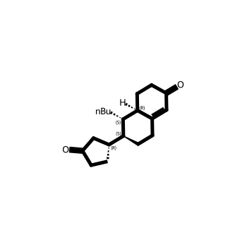 CCCC[C@H]1[C@H]([C@@H]2CCC(=O)C2)CCC2=CC(=O)CC[C@@H]21